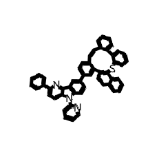 C1=C\c2ccc(-c3ccc4c(c3)c3nc(-c5ccccc5)ccc3n4-c3ccccn3)cc2-c2ccc3ccccc3c2Sc2ccccc2-c2ccccc2/1